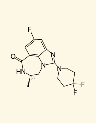 C[C@@H]1Cn2c(N3CCC(F)(F)CC3)nc3cc(F)cc(c32)C(=O)N1